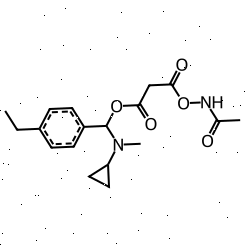 CCc1ccc(C(OC(=O)CC(=O)ONC(C)=O)N(C)C2CC2)cc1